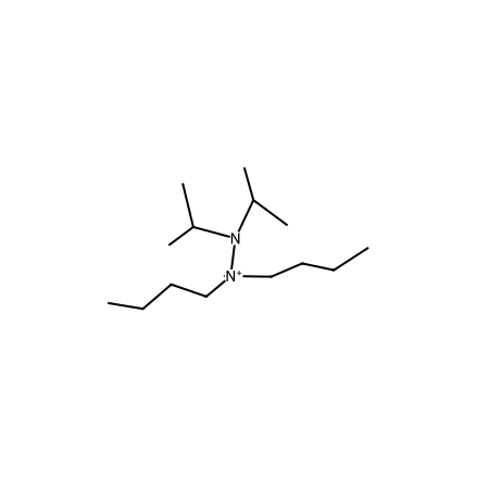 CCCC[N+](CCCC)N(C(C)C)C(C)C